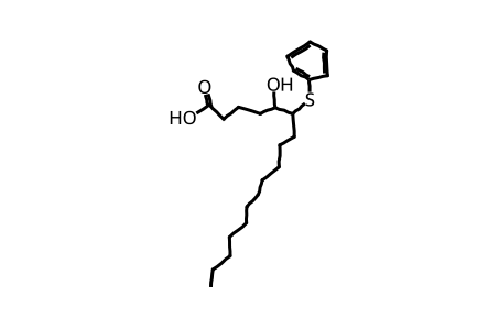 CCCCCCCCCCCC(Sc1ccccc1)C(O)CCCC(=O)O